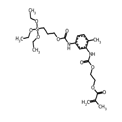 C=C(C)C(=O)OCCOC(=O)Nc1cc(NC(=O)OCCC[Si](OCC)(OCC)OCC)ccc1C